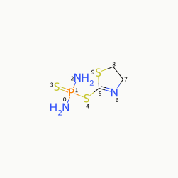 NP(N)(=S)SC1=NCCS1